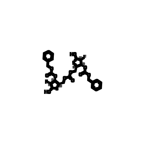 O=C(OC[C@H]1SC(O)[C@@H](F)[C@@H]1OC(=O)OCc1ccccc1)OC[C@H]1SC(O)[C@@H](F)[C@@H]1OC(=O)OCc1ccccc1